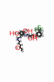 CCC(=O)CCC/C=C\C[C@@H]1[C@@H](/C=C/[C@@H](O)COc2cccc(C(F)(F)F)c2)[C@H](O)C[C@@H]1O